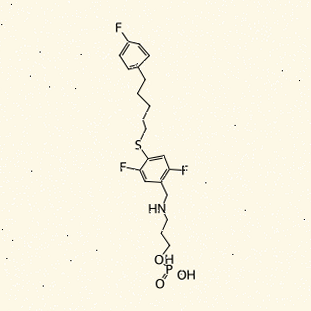 O=[PH](O)OCCCNCc1cc(F)c(SCCCCCc2ccc(F)cc2)cc1F